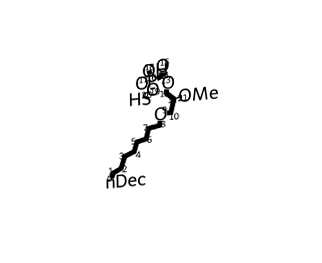 CCCCCCCCCCCCCCCCCCOC[C@H](COC(=O)P(=O)(O)OS)OC